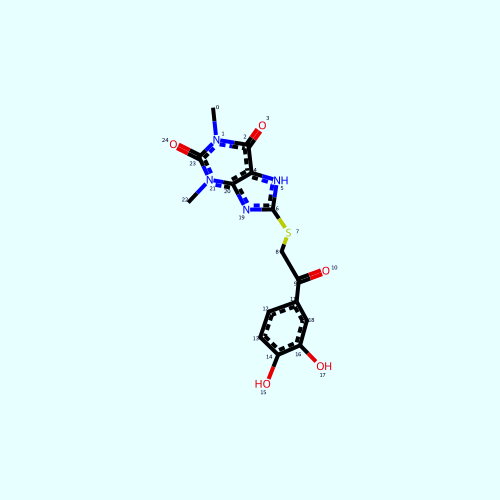 Cn1c(=O)c2[nH]c(SCC(=O)c3ccc(O)c(O)c3)nc2n(C)c1=O